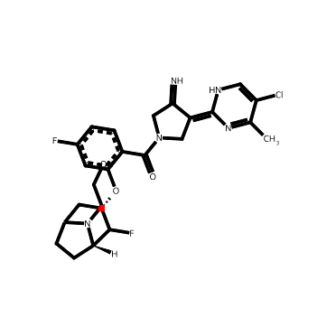 CC1=N/C(=C2\CN(C(=O)c3ccc(F)cc3O[C@H]3CC4CC[C@@H](C3F)N4CCO)CC2=N)NC=C1Cl